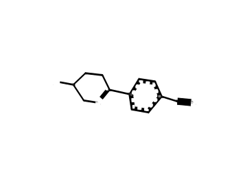 CC1CCC(c2ccc(C#N)cc2)=NC1